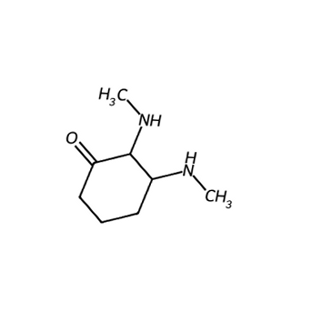 CNC1CCCC(=O)C1NC